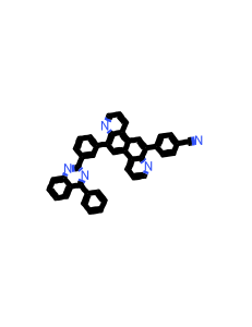 N#Cc1ccc(-c2cc3c4cccnc4c(-c4cccc(-c5nc(-c6ccccc6)c6ccccc6n5)c4)cc3c3cccnc23)cc1